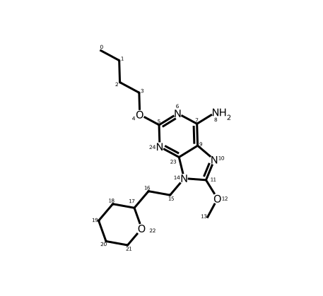 CCCCOc1nc(N)c2nc(OC)n(CCC3CCCCO3)c2n1